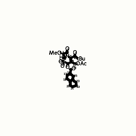 CO[C@H]1C(=O)N2C(C(=O)C(C)(C)C)=C(COC(C)=O)C(OC(=O)c3ccc4ccccc4c3)S(=O)(=O)[C@@H]12